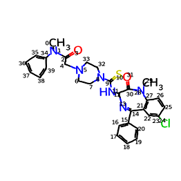 CN(C(=O)CN1CCN(C(=S)NC2N=C(c3ccccc3)c3cc(Cl)ccc3N(C)C2=O)CC1)c1ccccc1